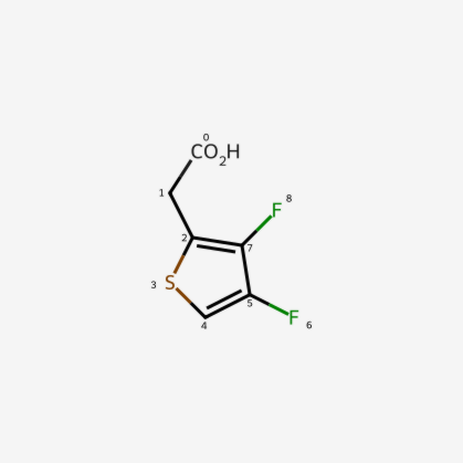 O=C(O)Cc1scc(F)c1F